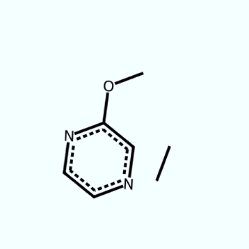 CC.COc1cnccn1